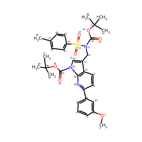 COc1cccc(-c2ccc3c(CN(C(=O)OC(C)(C)C)S(=O)(=O)c4ccc(C)cc4)cn(C(=O)OC(C)(C)C)c3n2)c1